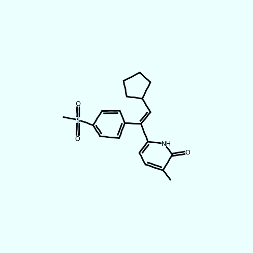 Cc1ccc(/C(=C/C2CCCC2)c2ccc(S(C)(=O)=O)cc2)[nH]c1=O